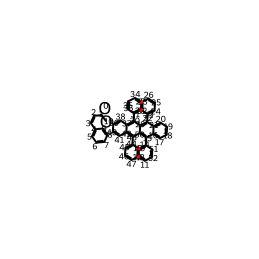 O=c1ccc2ccccc2o1.c1ccc(-c2c3ccccc3c(-c3ccccc3)c3c(-c4ccccc4)c4ccccc4c(-c4ccccc4)c23)cc1